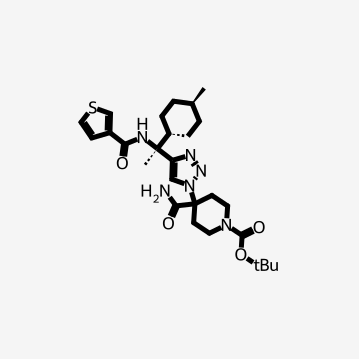 CC(C)(C)OC(=O)N1CCC(C(N)=O)(n2cc([C@@](C)(NC(=O)c3ccsc3)[C@H]3CC[C@H](C)CC3)nn2)CC1